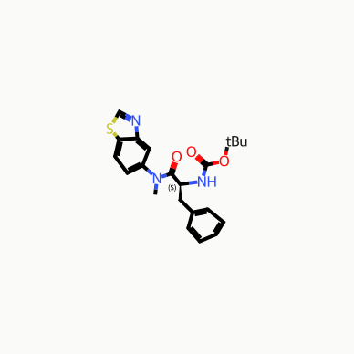 CN(C(=O)[C@H](Cc1ccccc1)NC(=O)OC(C)(C)C)c1ccc2scnc2c1